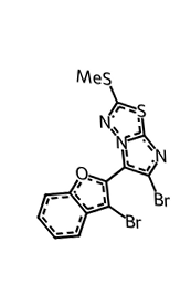 CSc1nn2c(-c3oc4ccccc4c3Br)c(Br)nc2s1